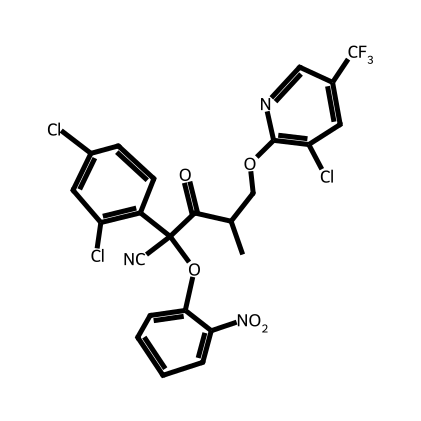 CC(COc1ncc(C(F)(F)F)cc1Cl)C(=O)C(C#N)(Oc1ccccc1[N+](=O)[O-])c1ccc(Cl)cc1Cl